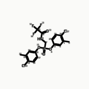 Cc1cc(OP(=O)(CNC(=O)C(F)(F)F)Oc2ccc(Cl)c(C)c2)ccc1Cl